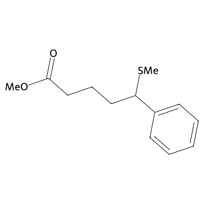 COC(=O)CCCC(SC)c1ccccc1